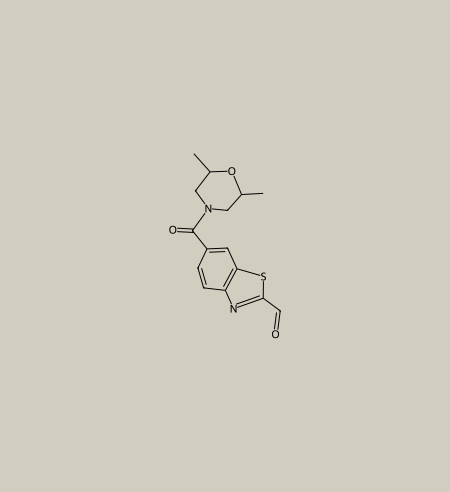 CC1CN(C(=O)c2ccc3nc(C=O)sc3c2)CC(C)O1